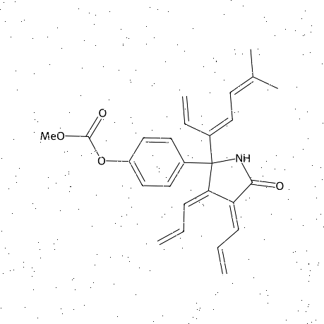 C=C/C=C1/C(=O)NC(/C(C=C)=C/C=C(C)C)(c2ccc(OC(=O)OC)cc2)/C1=C/C=C